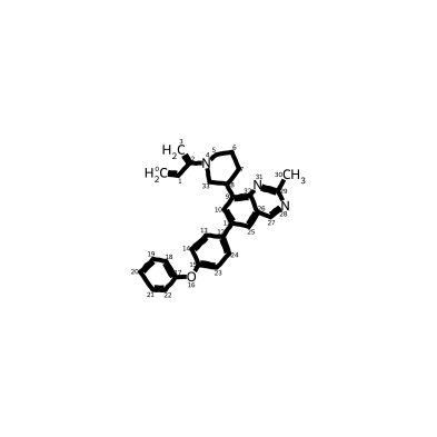 C=CC(=C)N1CCCC(c2cc(-c3ccc(Oc4ccccc4)cc3)cc3cnc(C)nc23)C1